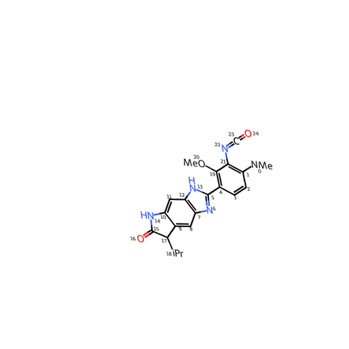 CNc1ccc(-c2nc3cc4c(cc3[nH]2)NC(=O)C4C(C)C)c(OC)c1N=C=O